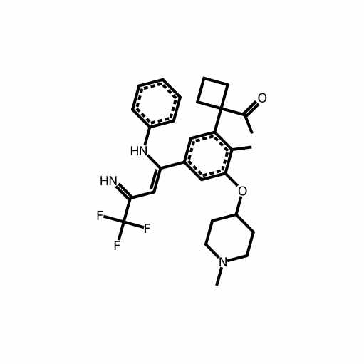 CC(=O)C1(c2cc(/C(=C/C(=N)C(F)(F)F)Nc3ccccc3)cc(OC3CCN(C)CC3)c2C)CCC1